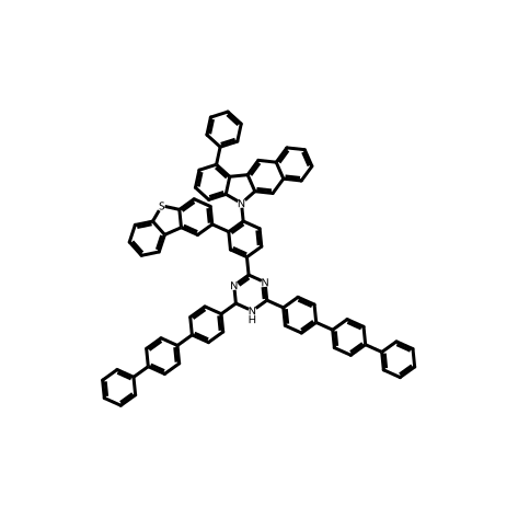 c1ccc(-c2ccc(-c3ccc(C4=NC(c5ccc(-n6c7cc8ccccc8cc7c7c(-c8ccccc8)cccc76)c(-c6ccc7sc8ccccc8c7c6)c5)=NC(c5ccc(-c6ccc(-c7ccccc7)cc6)cc5)N4)cc3)cc2)cc1